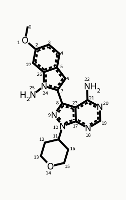 COc1ccc2cc(-c3nn(C4CCOCC4)c4ncnc(N)c34)n(N)c2c1